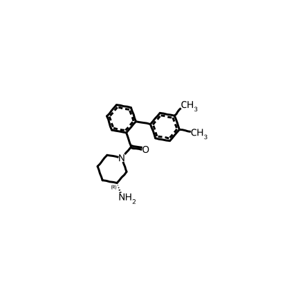 Cc1ccc(-c2ccccc2C(=O)N2CCC[C@@H](N)C2)cc1C